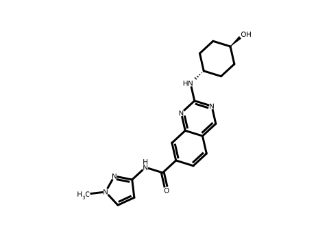 Cn1ccc(NC(=O)c2ccc3cnc(N[C@H]4CC[C@H](O)CC4)nc3c2)n1